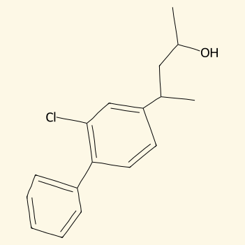 CC(O)CC(C)c1ccc(-c2ccccc2)c(Cl)c1